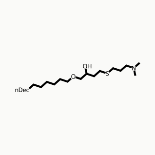 CCCCCCCCCCCCCCCCOCC(O)CCSCCCN(C)C